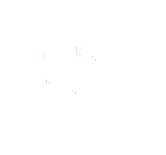 Clc1nc(Cl)c2[nH]nc(-c3ccccc3)c2n1